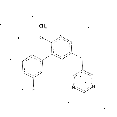 COc1ncc(Cc2cncnc2)cc1-c1cccc(F)c1